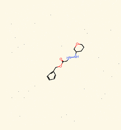 O=C(CNNC1CCCOC1)OCc1ccccc1